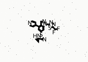 N#CC1(NSc2cc(-c3ccncc3)c3cnn(-c4nnc(C(F)F)s4)c3c2)CC1